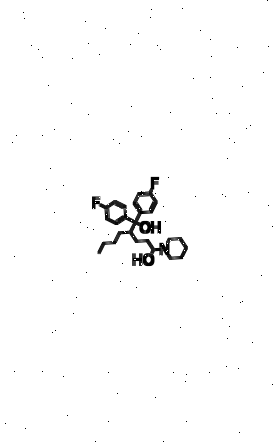 CCCCC(CCC(O)N1CCCCC1)C(O)(c1ccc(F)cc1)c1ccc(F)cc1